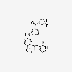 CCc1ncccc1CNc1nc(Nc2cccc(C(=O)N3CCC(F)(F)C3)c2)ncc1C(F)(F)F